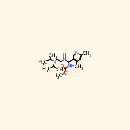 COC(=O)NC(NCCN(C(C)C)C(C)C)c1cnc(C)cc1C